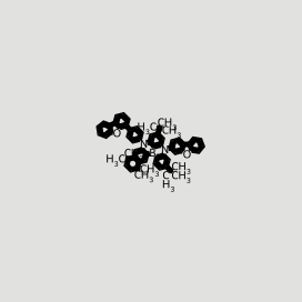 CC(C)(C)c1ccc2c(c1)N(c1ccc3c(c1)oc1ccccc13)c1cc(C(C)(C)C)cc3c1B2c1cc2c(cc1N3c1ccc(-c3cccc4c3oc3ccccc34)cc1)C(C)(C)CCC2(C)C